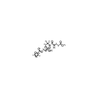 COC(=O)CCNC(=O)[C@@H]1O[P@@](O)(OCOC(=O)c2cnco2)OCC1(C)C